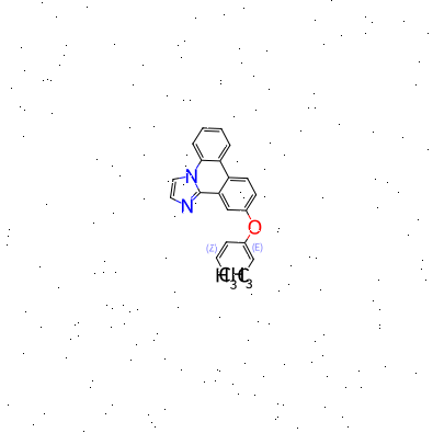 C/C=C\C(=C/C)Oc1ccc2c3ccccc3n3ccnc3c2c1